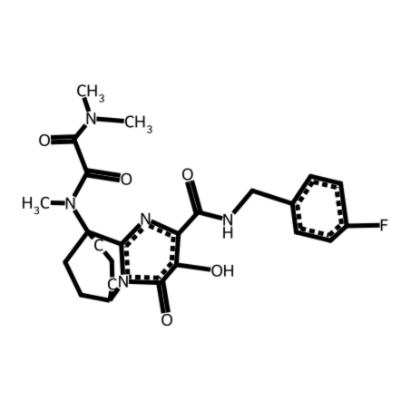 CN(C)C(=O)C(=O)N(C)C12CCCC(CC1)n1c2nc(C(=O)NCc2ccc(F)cc2)c(O)c1=O